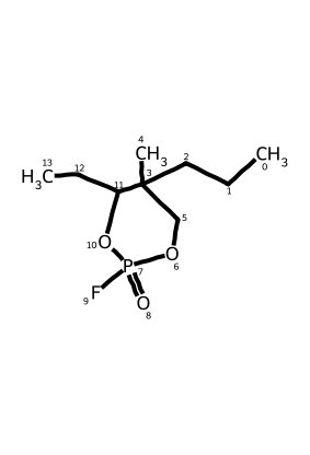 CCCC1(C)COP(=O)(F)OC1CC